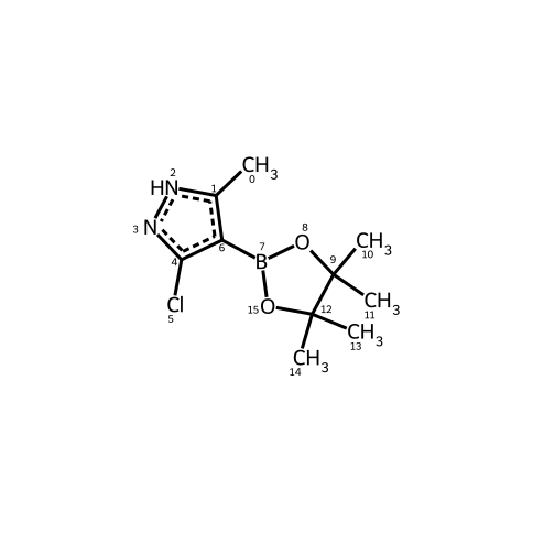 Cc1[nH]nc(Cl)c1B1OC(C)(C)C(C)(C)O1